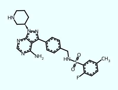 Cc1ccc(F)c(S(=O)(=O)NCc2ccc(-c3nn([C@@H]4CCCNC4)c4ncnc(N)c34)cc2)c1